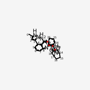 Cc1cc(-c2cccc3nc(NC4CC5CCC(C4)N5S(=O)(=O)c4cccnc4)nc(N)c23)n[nH]1